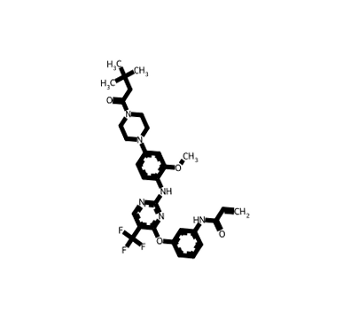 C=CC(=O)Nc1cccc(Oc2nc(Nc3ccc(N4CCN(C(=O)CC(C)(C)C)CC4)cc3OC)ncc2C(F)(F)F)c1